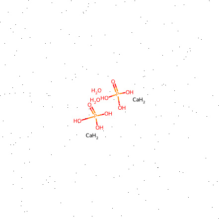 O.O.O=P(O)(O)O.O=P(O)(O)O.[CaH2].[CaH2]